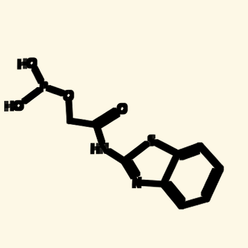 O=C(COP(O)O)Nc1nc2ccccc2s1